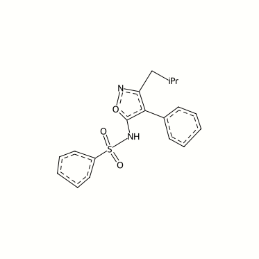 CC(C)Cc1noc(NS(=O)(=O)c2ccccc2)c1-c1ccccc1